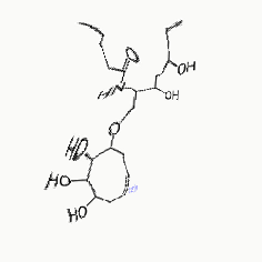 CCCC(=O)NC(COC1C/C=C\CC(O)C(O)C1O)C(O)CC(O)CC